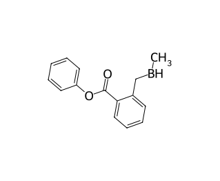 CBCc1ccccc1C(=O)Oc1ccccc1